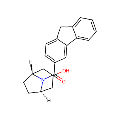 O=C(c1ccc2c(c1)-c1ccccc1C2)N1[C@@H]2CC[C@@H]1CC(O)C2